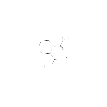 CC(C)C1CNCCN1C(N)=O.Cl